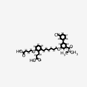 CN(C)C(=O)c1cc(OCCCCCCc2cccc(OCCCC(=O)O)c2CCC(=O)O)cc(-c2cccc(Cl)c2)c1